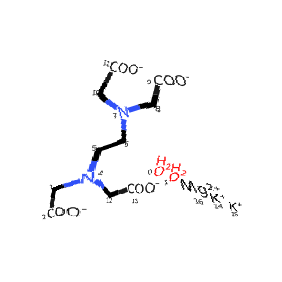 O.O.O=C([O-])CN(CCN(CC(=O)[O-])CC(=O)[O-])CC(=O)[O-].[K+].[K+].[Mg+2]